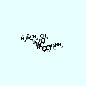 Cc1cccc(-c2c(-c3ccc4ncc(OC(N)=O)cc4c3)ncn2COCC[Si](C)(C)C)n1